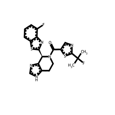 CC(C)(F)c1ncc(C(=O)N2CCc3[nH]cnc3[C@H]2c2nc3c(F)cccc3s2)s1